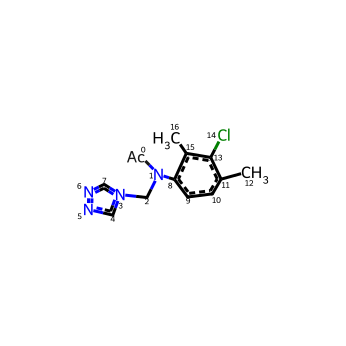 CC(=O)N(Cn1cnnc1)c1ccc(C)c(Cl)c1C